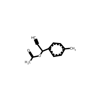 C#CC(OC(C)=O)c1ccc(C)cc1